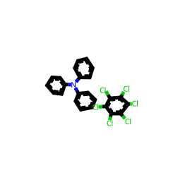 Clc1c(Cl)c(Cl)c(Cl)c(Cl)c1Cl.c1ccc(N(c2ccccc2)c2ccccc2)cc1